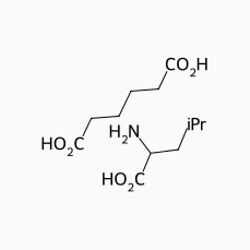 CC(C)CC(N)C(=O)O.O=C(O)CCCCC(=O)O